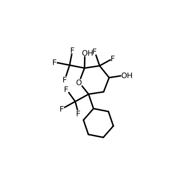 OC1CC(C2CCCCC2)(C(F)(F)F)OC(O)(C(F)(F)F)C1(F)F